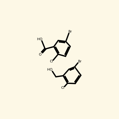 O=C(O)c1cc(Br)ccc1Cl.OCc1cc(Br)ccc1Cl